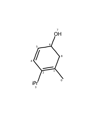 CC1=C(C(C)C)C=CC(O)C1